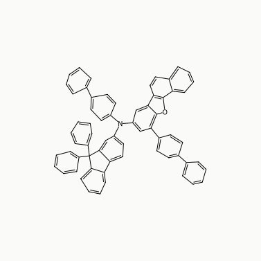 c1ccc(-c2ccc(-c3cc(N(c4ccc(-c5ccccc5)cc4)c4ccc5c(c4)C(c4ccccc4)(c4ccccc4)c4ccccc4-5)cc4c3oc3c5ccccc5ccc43)cc2)cc1